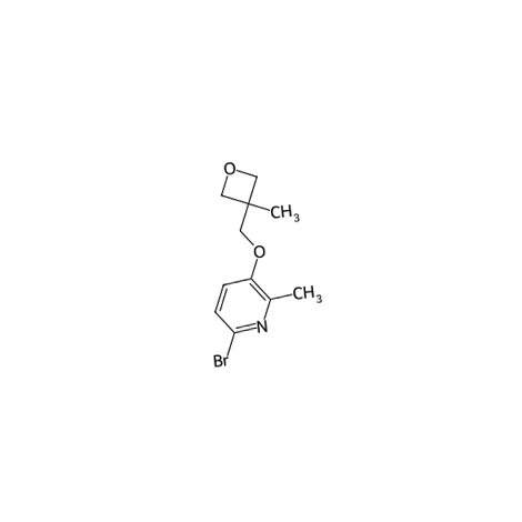 Cc1nc(Br)ccc1OCC1(C)COC1